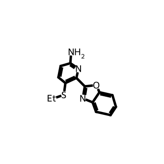 CCSc1ccc(N)nc1-c1nc2ccccc2o1